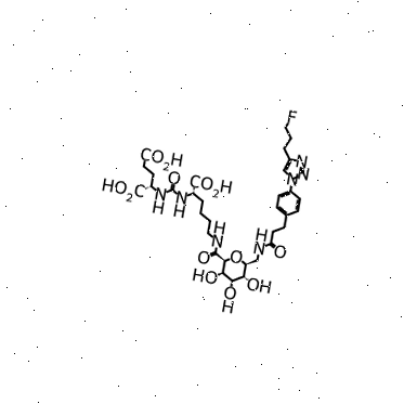 O=C(O)CC[C@H](NC(=O)N[C@@H](CCCCNC(=O)[C@H]1O[C@@H](CNC(=O)CCc2ccc(-n3cc(CCCF)nn3)cc2)[C@H](O)[C@@H](O)[C@H]1O)C(=O)O)C(=O)O